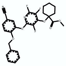 COC(=O)C1(Oc2c(F)c(F)nc(Oc3cc(C#N)ccc3OCc3ccccc3)c2F)CCCCC1